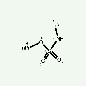 CCCNS(=O)(=O)OCCC